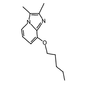 CCCCCOc1cccn2c(C)c(C)nc12